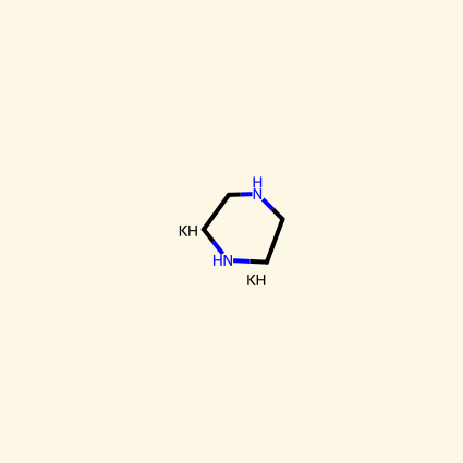 C1CNCCN1.[KH].[KH]